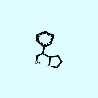 OCC(c1ccccc1)C1CCCO1